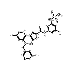 CCc1sc(C(=O)Nc2cc(Cl)cc(NS(C)(=O)=O)c2)cc1-c1ncc(F)cc1OCc1cncc(F)c1